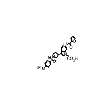 CC(C)Oc1ccc(S(=O)(=O)N2CCC(c3cn(CC(=O)O)c4cc(NC(=O)c5ccco5)ccc34)C2)cc1